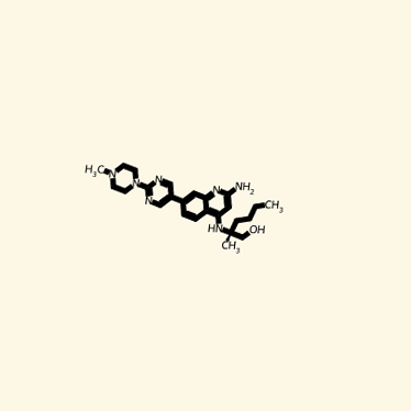 CCCC[C@](C)(CO)Nc1cc(N)nc2cc(-c3cnc(N4CCN(C)CC4)nc3)ccc12